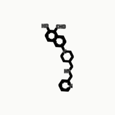 O=Cc1c(O)ccc2cc(N3CCC(CNCc4ccccn4)CC3)ccc12